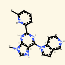 Cc1cccc(-c2nc(-n3ccc4cnccc43)c3ncn(C)c3n2)n1